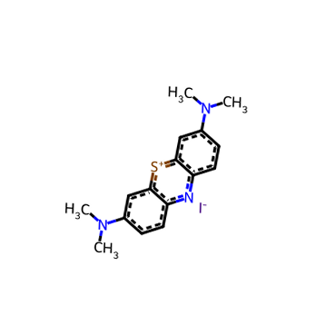 CN(C)c1ccc2nc3ccc(N(C)C)cc3[s+]c2c1.[I-]